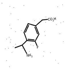 CC(N)c1ccc(CC(=O)O)cc1F